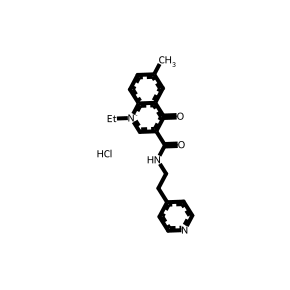 CCn1cc(C(=O)NCCc2ccncc2)c(=O)c2cc(C)ccc21.Cl